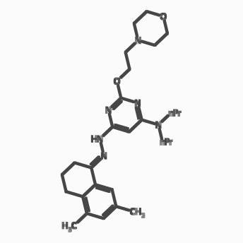 CCCN(CCC)c1cc(N/N=C2\CCCc3c(C)cc(C)cc32)nc(OCCN2CCOCC2)n1